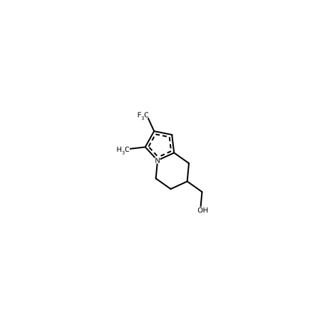 Cc1c(C(F)(F)F)cc2n1CCC(CO)C2